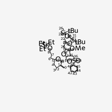 C=C1C(C)CC(CCCO[Si](CC)(CC)CC)O[C@@H]1CC1OC(C[C@@H](CO[Si](C)(C)C(C)(C)C)O[Si](C)(C)C(C)(C)C)[C@H](OC)C1CS(=O)(=O)c1ccccc1